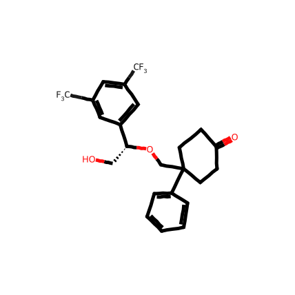 O=C1CCC(CO[C@H](CO)c2cc(C(F)(F)F)cc(C(F)(F)F)c2)(c2ccccc2)CC1